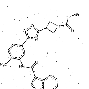 Cc1ccc(-c2noc(C3CN(C(=O)OC(C)C)C3)n2)cc1NC(=O)c1cnc2ccccn12